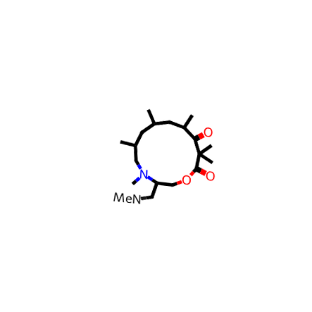 CNCC1COC(=O)C(C)(C)C(=O)C(C)CC(C)CC(C)CN1C